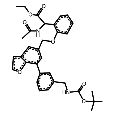 CCOC(=O)C(NC(C)=O)c1ccccc1OCc1cc(-c2cccc(CNC(=O)OC(C)(C)C)c2)c2occc2c1